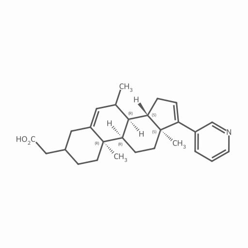 CC1C=C2CC(CC(=O)O)CC[C@]2(C)[C@@H]2CC[C@]3(C)C(c4cccnc4)=CC[C@H]3[C@H]12